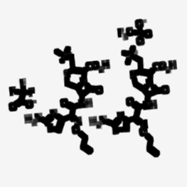 C=CCON=C(C(=O)NC1C(=O)N2C(C(=O)O)=C(C[N+](C)(C)C)SCC12)c1csc(N)n1.C=CCON=C(C(=O)NC1C(=O)N2C(C(=O)O)=C(C[N+](C)(C)C)SCC12)c1csc(N)n1.O=C([O-])C(F)(F)F.O=S(=O)([O-])C(F)(F)F